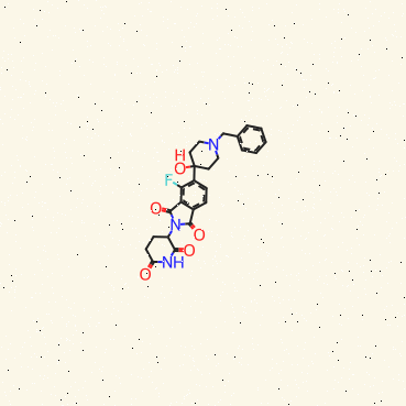 O=C1CCC(N2C(=O)c3ccc(C4(O)CCN(Cc5ccccc5)CC4)c(F)c3C2=O)C(=O)N1